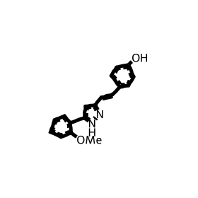 COc1ccccc1-c1cc(C=Cc2ccc(O)cc2)n[nH]1